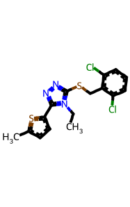 CCn1c(SCc2c(Cl)cccc2Cl)nnc1-c1ccc(C)s1